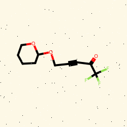 O=C(C#CCOC1CCCCO1)C(F)(F)F